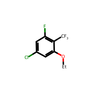 CCOc1cc(Cl)cc(F)c1C(F)(F)F